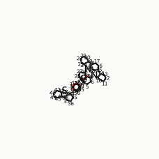 c1ccc(-c2ccc(-n3c4ccccc4c4ccc5c6ccccc6n(-c6ccc(-c7ccc(-c8cccc9c8sc8ccccc89)cc7)cc6)c5c43)cc2)cc1